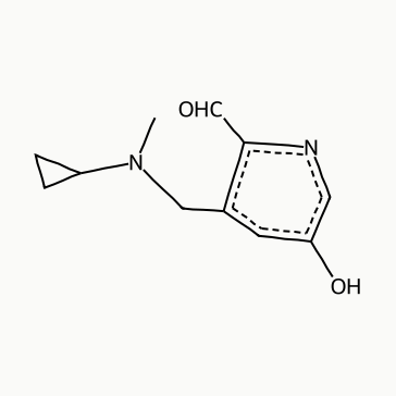 CN(Cc1cc(O)cnc1C=O)C1CC1